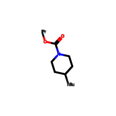 CCCCC1CCN(C(=O)OC(C)C)CC1